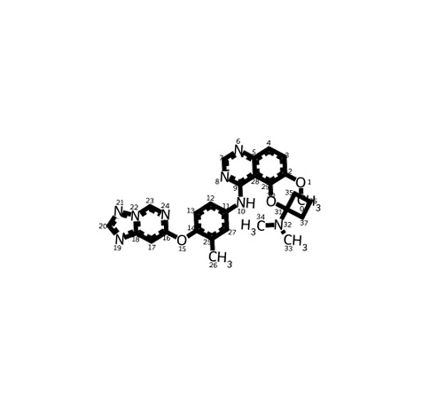 COc1ccc2ncnc(Nc3ccc(Oc4cc5ncnn5cn4)c(C)c3)c2c1OC1(N(C)C)CCC1